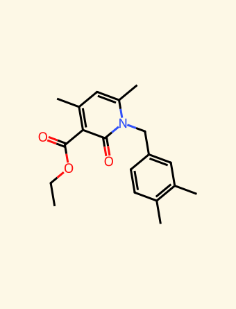 CCOC(=O)c1c(C)cc(C)n(Cc2ccc(C)c(C)c2)c1=O